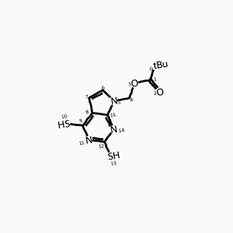 CC(C)(C)C(=O)OCn1ccc2c(S)nc(S)nc21